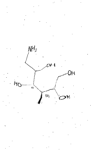 C[C@H](C(O)CO)[C@H](O)C(O)CN